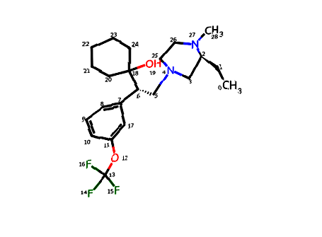 CC[C@H]1CN(C[C@H](c2cccc(OC(F)(F)F)c2)C2(O)CCCCC2)CCN1C